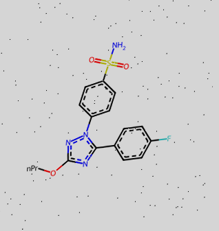 CCCOc1nc(-c2ccc(F)cc2)n(-c2ccc(S(N)(=O)=O)cc2)n1